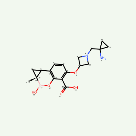 NC1(CN2CC(Oc3ccc4c(c3C(=O)O)OB(O)[C@@H]3CC43)C2)CC1